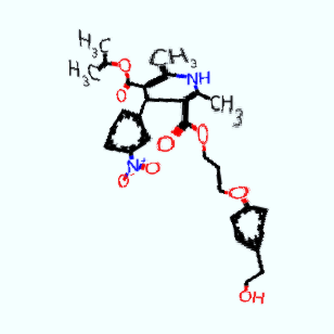 CC1=C(C(=O)OCCCOc2ccc(CCO)cc2)C(c2cccc([N+](=O)[O-])c2)C(C(=O)OC(C)C)=C(C)N1